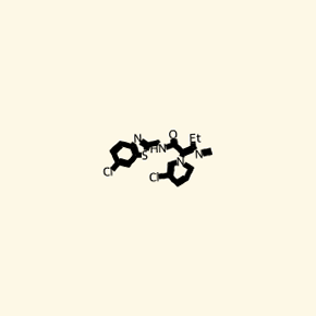 C=N/C(CC)=C(/C(=O)NCc1nc2ccc(Cl)cc2s1)N1C=C(Cl)C=CC1